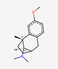 COc1ccc2c(c1)[C@@]1(C)CCC(C2)[C@H]1N(C)C